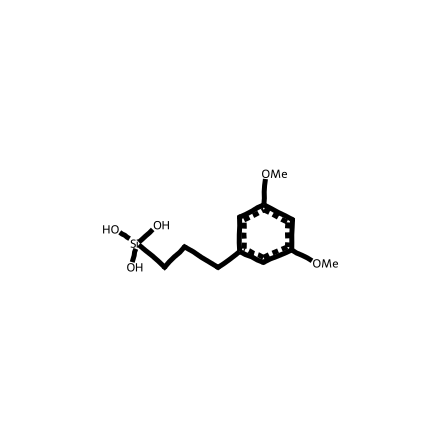 COc1cc(CCC[Si](O)(O)O)cc(OC)c1